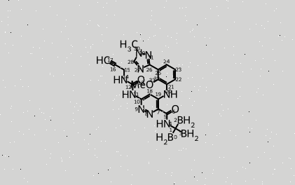 BC(B)(B)NC(=O)c1nnc(NC(=O)NCC#C)cc1Nc1cccc(-c2ncn(C)n2)c1OC